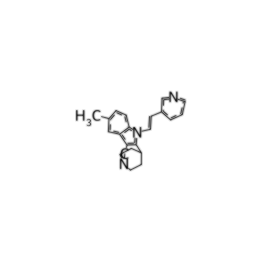 Cc1ccc2c(c1)c1c(n2/C=C/c2cccnc2)C2CCN(CC2)C1